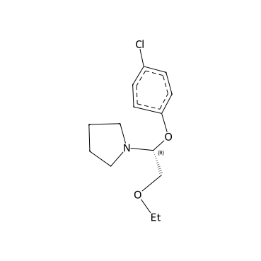 CCOC[C@@H](Oc1ccc(Cl)cc1)N1CCCC1